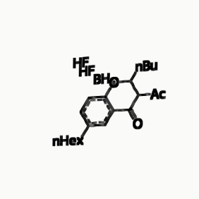 B.CCCCCCc1ccc2c(c1)C(=O)C(C(C)=O)C(CCCC)O2.F.F